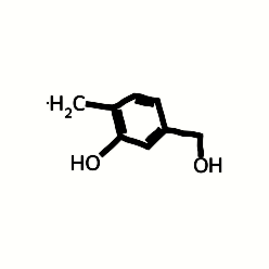 [CH2]c1ccc(CO)cc1O